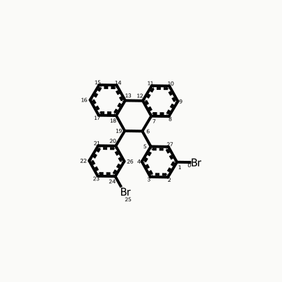 Brc1cccc(C2c3ccccc3-c3ccccc3C2c2cccc(Br)c2)c1